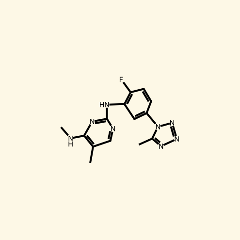 CNc1nc(Nc2cc(-n3nnnc3C)ccc2F)ncc1C